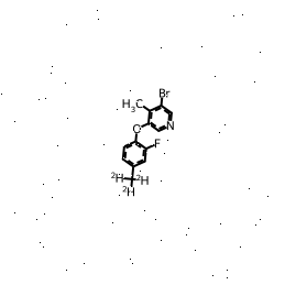 [2H]C([2H])([2H])c1ccc(Oc2cncc(Br)c2C)c(F)c1